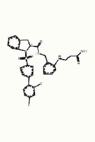 COC(=O)CCNc1ccccc1CNC(=O)[C@@H]1Cc2ccccc2N1S(=O)(=O)c1ccc(-c2ccc(F)cc2Cl)cc1